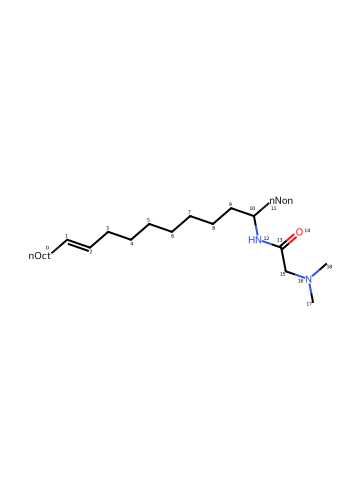 CCCCCCCCC=CCCCCCCCC(CCCCCCCCC)NC(=O)CN(C)C